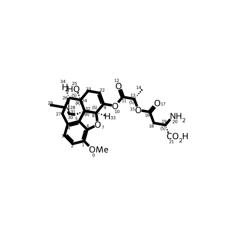 COc1ccc2c3c1O[C@@H]1C(OC(=O)[C@H](C)OC(=O)C[C@H](N)C(=O)O)=CC[C@]4(O)[C@H](C2)N(C)CC[C@@]314